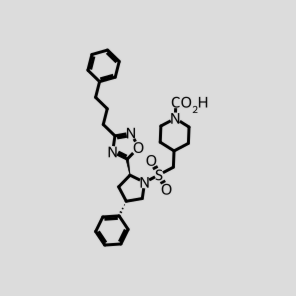 O=C(O)N1CCC(CS(=O)(=O)N2C[C@H](c3ccccc3)C[C@H]2c2nc(CCCc3ccccc3)no2)CC1